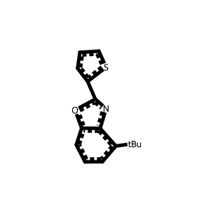 CC(C)(C)c1cccc2oc(-c3cccs3)nc12